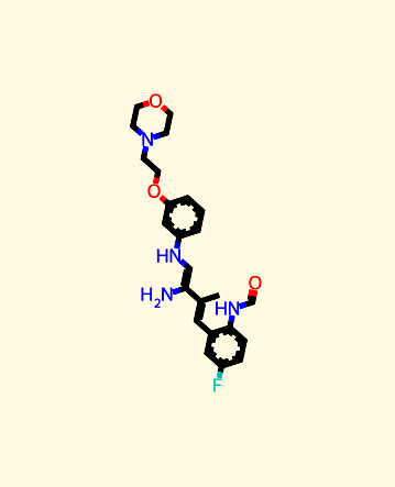 CC(=C\c1cc(F)ccc1NC=O)/C(N)=C/Nc1cccc(OCCN2CCOCC2)c1